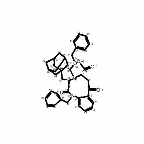 O=C1C[C@@H](C(=O)O)N(C(=O)OCc2ccccc2)[C@H](CC23CC4CC(CC(C4)C2)C3)C(=O)N(Cc2ccccc2)c2ccccc21